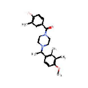 Bc1ccc(C(=O)N2CCN(C(C)c3ccc(OC)c(C)c3C)CC2)cc1C